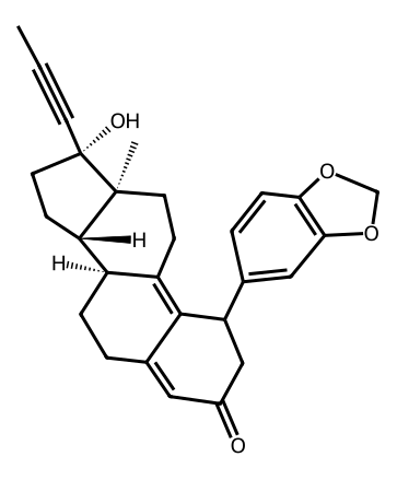 CC#C[C@]1(O)CC[C@H]2[C@@H]3CCC4=CC(=O)CC(c5ccc6c(c5)OCO6)C4=C3CC[C@@]21C